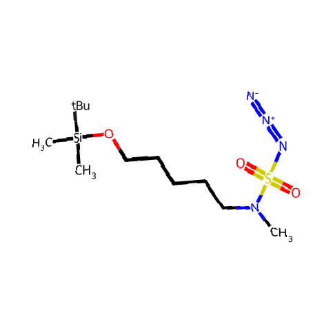 CN(CCCCCO[Si](C)(C)C(C)(C)C)S(=O)(=O)N=[N+]=[N-]